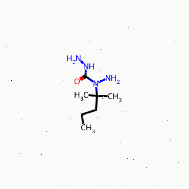 CCCC(C)(C)N(N)C(=O)NN